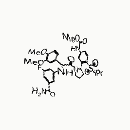 COC(=O)Nc1ccc(S(=O)(=O)C(C)C)c([C@H]2CCCN2C(=O)[C@H](Nc2cc(F)cc(C(N)=O)c2)c2ccc(OC)c(OC)c2)c1